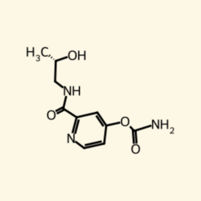 C[C@H](O)CNC(=O)c1cc(OC(N)=O)ccn1